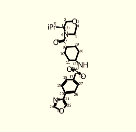 CC(C)[C@H]1COCCN1C(=O)[C@H]1CC[C@H](NS(=O)(=O)c2ccc(-c3cocn3)cc2)CC1